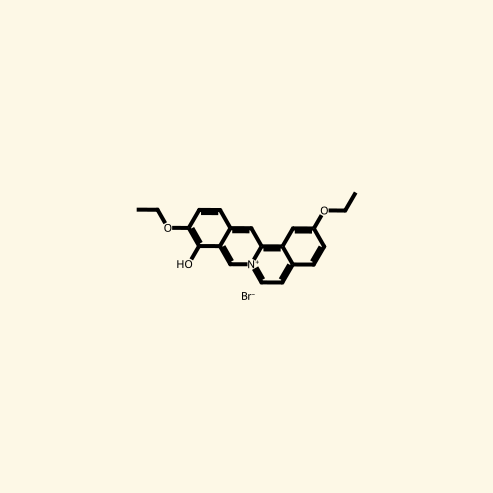 CCOc1ccc2cc[n+]3cc4c(O)c(OCC)ccc4cc3c2c1.[Br-]